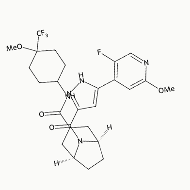 COc1cc(-c2cc(C(=O)N3[C@@H]4CC[C@H]3CC(C(=O)NC3CCC(OC)(C(F)(F)F)CC3)C4)n[nH]2)c(F)cn1